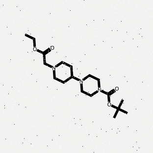 CCOC(=O)CN1CCC(N2CCN(C(=O)OC(C)(C)C)CC2)CC1